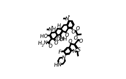 CC(OC(=O)c1c2n(c3cc(N4CCNCC4)c(F)cc3c1=O)C(C)S2)C(=O)Oc1ccc(N(C)C)c2c1C(=O)C1=C(O)[C@@]3(O)C(=O)C(C(N)=O)=C(O)[C@H](N(C)C)[C@H]3C[C@H]1C2